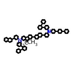 CC1(C)c2cc(-c3ccc4cc(-c5cccc(N(c6ccc(-c7ccc(-c8ccccc8)cc7)cc6)c6cccc(-c7ccccc7-c7ccccc7)c6)c5)ccc4c3)ccc2-c2ccc(N(c3cccc(-c4ccc5ccccc5c4)c3)c3cccc(-c4ccccc4-c4ccccc4)c3)cc21